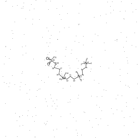 C[N+](C)(C)CCC[N+](C)(C)CCC[N+](C)(C)CCCSS(C)(=O)=O